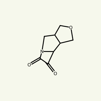 O=C1C(=O)N2CC3COCC3C12